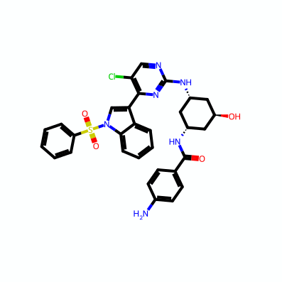 Nc1ccc(C(=O)N[C@H]2C[C@H](O)C[C@@H](Nc3ncc(Cl)c(-c4cn(S(=O)(=O)c5ccccc5)c5ccccc45)n3)C2)cc1